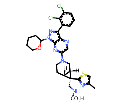 Cc1csc([C@@]2(CNC(=O)O)[C@@H]3CCN(c4cnc5c(-c6cccc(Cl)c6Cl)nn(C6CCCCO6)c5n4)C[C@@H]32)n1